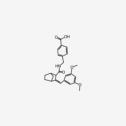 COc1cc(/C=C2/C3CCC(C3)C2C(=O)NCc2ccc(C(=O)O)cc2)cc(OC)c1